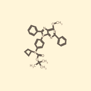 COc1nc(-c2ccccc2)nc2c1nc(-c1ccccc1)n2-c1ccc(N(C(=O)OC(C)(C)C)C2CCC2)cc1